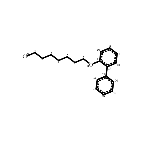 ClCCCCCCCOc1ccccc1-c1ccccc1